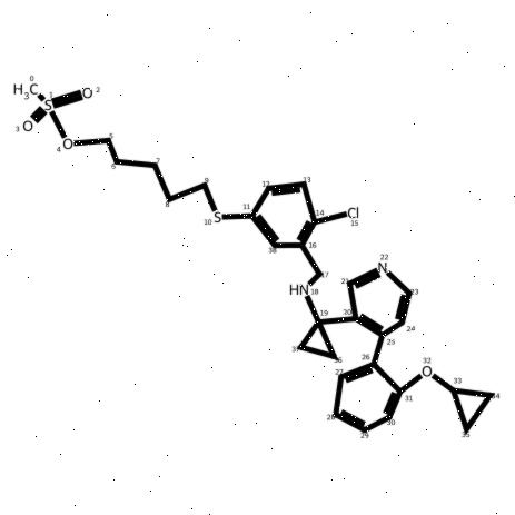 CS(=O)(=O)OCCCCCSc1ccc(Cl)c(CNC2(c3cnccc3-c3ccccc3OC3CC3)CC2)c1